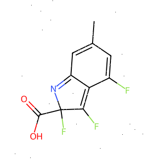 Cc1cc(F)c2c(c1)=NC(F)(C(=O)O)C=2F